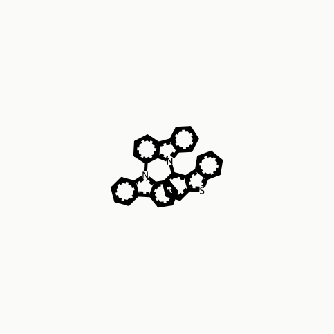 c1ccc2c(c1)sc1cccc(-n3c4ccccc4c4cccc(-n5c6ccccc6c6ccccc65)c43)c12